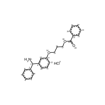 Cl.NC(c1ccccc1)c1cccc(OCCCOC(=O)c2ccccc2)c1